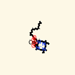 C=CC1=C(C)C2=NC1=CC1=NC(=Cc3[n-]c4c(c3C)=C([O-])[C@H](C(=O)OC)C=4C3=NC(=C2)[C@@H](C)[C@@H]3CCC(=O)OC/C=C(\C)CCC[C@H](C)CCC[C@H](C)CCCC(C)C)C(CC)=C1C.[Cu+2]